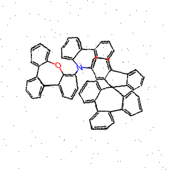 c1ccc(-c2ccccc2N(c2ccc3c(c2)C2(c4ccccc4-c4ccccc4-c4ccccc42)c2ccccc2-3)c2cccc3c2Oc2ccccc2-c2ccccc2-3)cc1